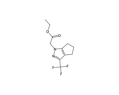 CCOC(=O)Cn1nc(C(F)(F)F)c2c1CCC2